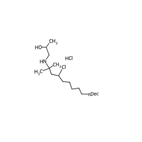 CCCCCCCCCCCCCCCC(Cl)CC(C)(C)NCC(C)O.Cl